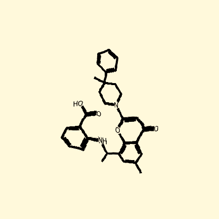 Cc1cc(C(C)Nc2ccccc2C(=O)O)c2oc(N3CCC(C)(c4ccccc4)CC3)cc(=O)c2c1